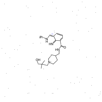 CC(C)N/C=C1/C=CC=C(C(=O)NCC2CCN(CC(C)(C)CO)CC2)C1=N